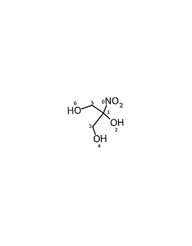 O=[N+]([O-])C(O)(CO)CO